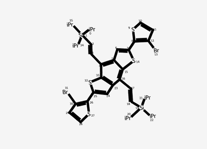 CC(C)[Si](/C=C/c1c2cc(-c3sccc3Br)sc2c(/C=C/[Si](C(C)C)(C(C)C)C(C)C)c2cc(-c3sccc3Br)sc12)(C(C)C)C(C)C